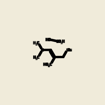 CN(C)C=C(CC(C)(C)C)C(=O)O.O=S(=O)(O)O